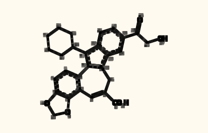 O=C(O)C1=Cc2c(ccc3c2OCO3)-c2c(C3CCCCC3)c3ccc(C(=O)CO)cc3n2C1